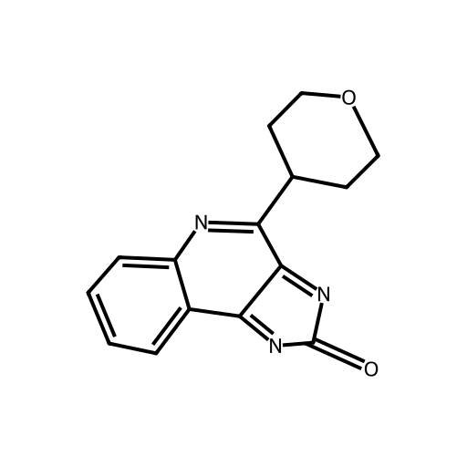 O=C1N=c2c(C3CCOCC3)nc3ccccc3c2=N1